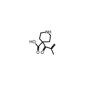 C=C(C)C(=O)C1(C(=O)O)CCNCC1